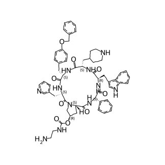 NCCNC(=O)O[C@@H]1C[C@H]2C(=O)N[C@@H](c3ccccc3)C(=O)N[C@H](Cc3c[nH]c4ccccc34)C(=O)N[C@@H](CC3CCNCC3)C(=O)N[C@@H](Cc3ccc(OCc4ccccc4)cc3)C(=O)N[C@@H](Cc3cccnc3)C(=O)N2C1